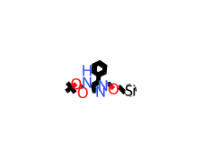 CC(C)(C)OC(=O)Nc1cnn(COCC[Si](C)(C)C)c1-c1ccccc1